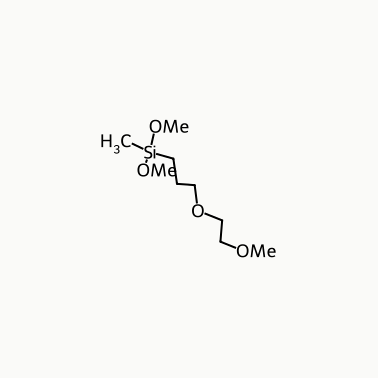 COCCOCCC[Si](C)(OC)OC